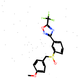 COc1ccc(C[S+]([O-])c2[c]ccc(-c3noc(C(F)(F)F)n3)c2)cc1